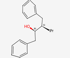 CC(C)[C@H](Cc1ccccc1)[C@H](O)Cc1ccccc1